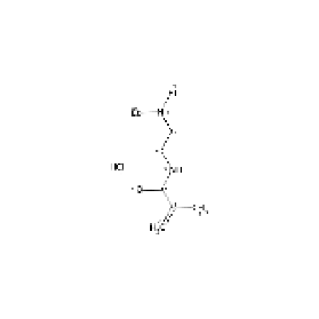 C=C(C)C(=O)NCCN(CC)CC.Cl